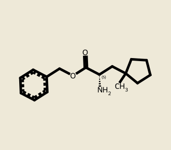 CC1(C[C@H](N)C(=O)OCc2ccccc2)CCCC1